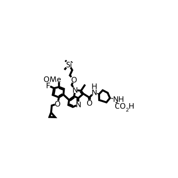 COc1cc(-c2ccnc3c(C(=O)N[C@H]4CC[C@@H](NC(=O)O)CC4)c(C)n(COCC[Si](C)(C)C)c23)c(OCC2CC2)cc1F